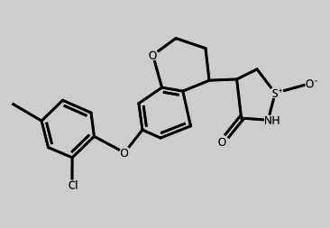 Cc1ccc(Oc2ccc3c(c2)OCCC3C2C[S+]([O-])NC2=O)c(Cl)c1